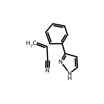 C=CC#N.c1ccc(-c2cc[nH]n2)cc1